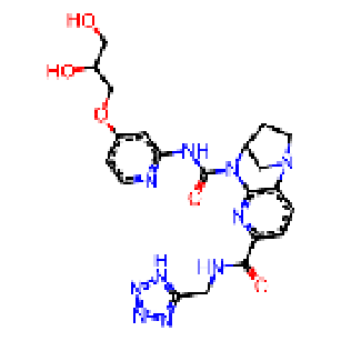 O=C(NCc1nnn[nH]1)c1ccc2c(n1)N(C(=O)Nc1cc(OCC(O)CO)ccn1)C1CCN2C1